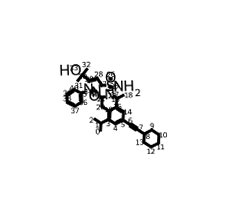 CC(C)c1cc(C#CC2CCCCC2)cc(C(C)C)c1CC(=O)N=S(N)(=O)c1cc(C(C)(C)O)n(-c2ccccc2)n1